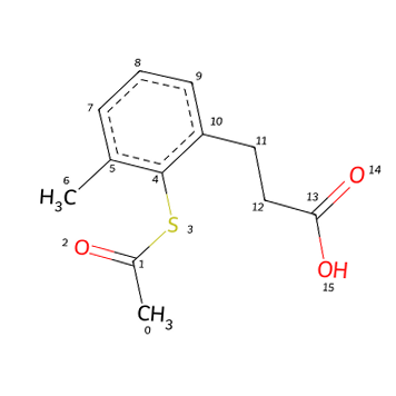 CC(=O)Sc1c(C)cccc1CCC(=O)O